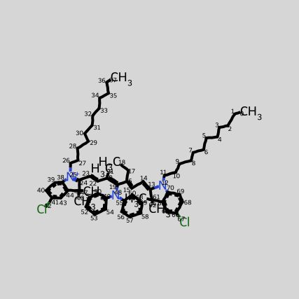 CCCCCCCCCCCCN1/C(=C/C=C(CC)/C(=C(C)/C=C/C2=[N+](CCCCCCCCCCCC)c3ccc(Cl)cc3C2(C)C)N(c2ccccc2)c2ccccc2)C(C)(C)c2cc(Cl)ccc21